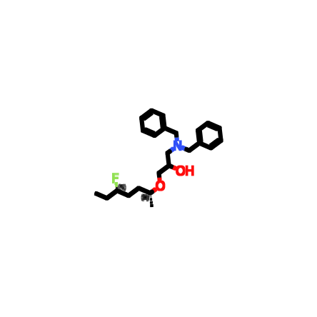 CC[C@H](F)CC[C@@H](C)OCC(O)CN(Cc1ccccc1)Cc1ccccc1